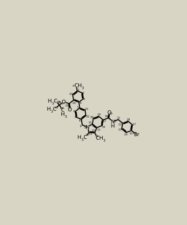 Cc1ccc(-c2ccc(Cn3c(C)c(C)c4cc(C(=O)NCc5ccc(Br)cc5)ccc43)cc2)c(C(=O)OC(C)(C)C)c1